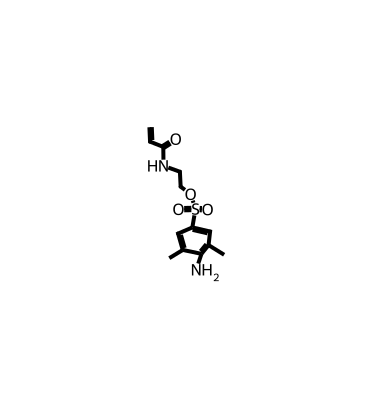 C=CC(=O)NCCOS(=O)(=O)c1cc(C)c(N)c(C)c1